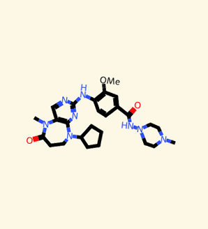 COc1cc(C(=O)NN2CCN(C)CC2)ccc1Nc1ncc2c(n1)N(C1CCCC1)CCC(=O)N2C